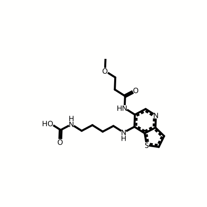 COCCC(=O)Nc1cnc2ccsc2c1NCCCCNC(=O)O